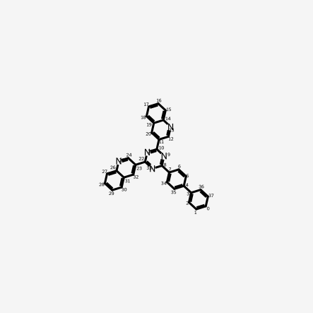 c1ccc(-c2ccc(-c3nc(-c4cnc5ccccc5c4)nc(-c4cnc5ccccc5c4)n3)cc2)cc1